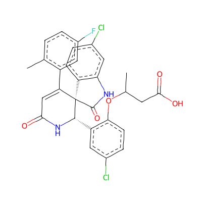 Cc1ccc(F)cc1C1=CC(=O)N[C@@H](c2cc(Cl)ccc2OC(C)CC(=O)O)[C@]12C(=O)Nc1cc(Cl)ccc12